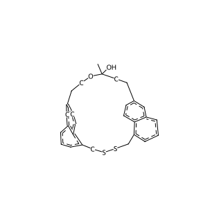 CC1(O)CCc2ccc3c(cccc3c2)CSSCc2cccc3cc(ccc23)CCO1